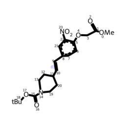 COC(=O)COc1ccc(/C=C/C2CCN(C(=O)OC(C)(C)C)CC2)cc1[N+](=O)[O-]